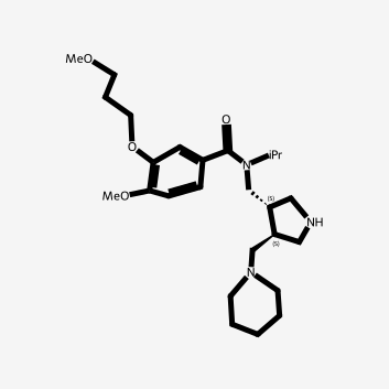 COCCCOc1cc(C(=O)N(C[C@@H]2CNC[C@H]2CN2CCCCC2)C(C)C)ccc1OC